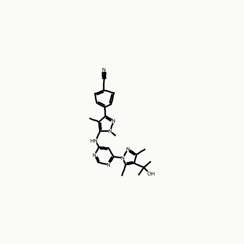 Cc1nn(-c2cc(Nc3c(C)c(-c4ccc(C#N)cc4)nn3C)ncn2)c(C)c1C(C)(C)O